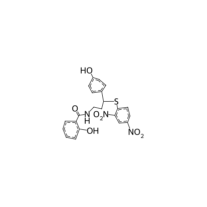 O=C(NCCC(Sc1ccc([N+](=O)[O-])cc1[N+](=O)[O-])c1ccc(O)cc1)c1ccccc1O